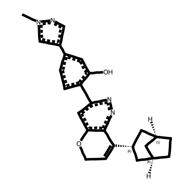 Cn1cc(-c2ccc(-c3cc4c(nn3)C([C@H]3C[C@@H]5CC[C@@H](C5)C3)=CCO4)c(O)c2)cn1